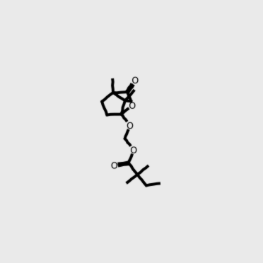 CCC(C)(C)C(=O)OCOC12CCC(C)(C(=O)O1)C2(C)C